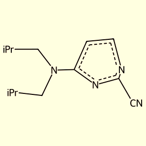 CC(C)CN(CC(C)C)c1ccnc(C#N)n1